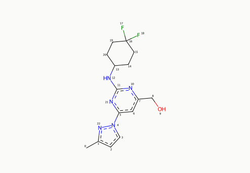 Cc1ccn(-c2cc(CO)nc(NC3CCC(F)(F)CC3)n2)n1